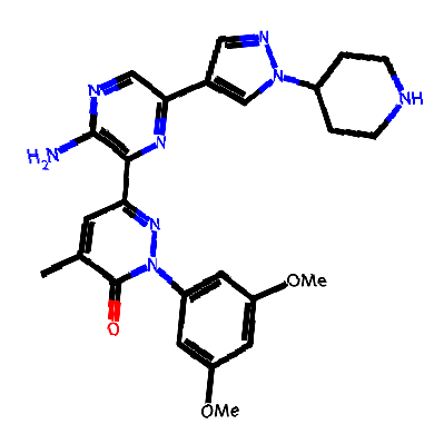 COc1cc(OC)cc(-n2nc(-c3nc(-c4cnn(C5CCNCC5)c4)cnc3N)cc(C)c2=O)c1